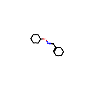 [C](=N\OC1CCCCC1)/C1=CCCCC1